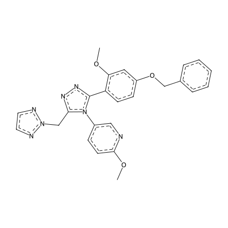 COc1ccc(-n2c(Cn3nccn3)nnc2-c2ccc(OCc3ccccc3)cc2OC)cn1